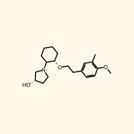 COc1ccc(CCO[C@H]2CCCCC2N2CC[C@H](O)C2)cc1C